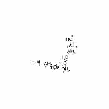 Cl.O.O.O.O.[AlH3].[AlH3].[AlH3].[AlH3].[AlH3]